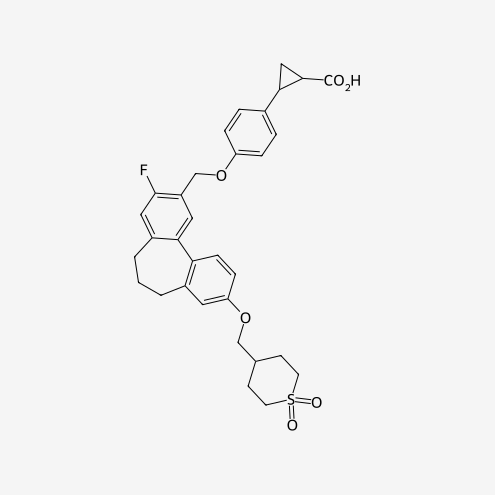 O=C(O)C1CC1c1ccc(OCc2cc3c(cc2F)CCCc2cc(OCC4CCS(=O)(=O)CC4)ccc2-3)cc1